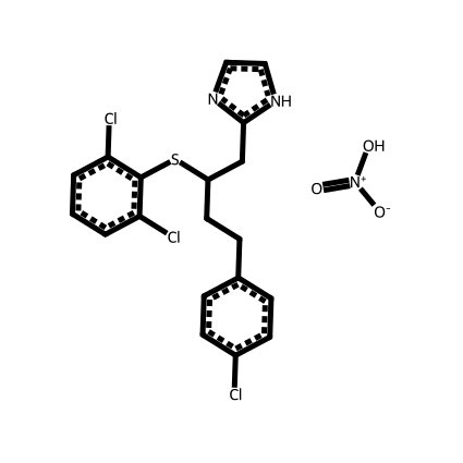 Clc1ccc(CCC(Cc2ncc[nH]2)Sc2c(Cl)cccc2Cl)cc1.O=[N+]([O-])O